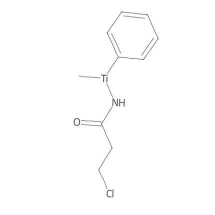 [CH3][Ti]([NH]C(=O)CCCl)[c]1ccccc1